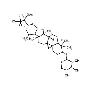 CC(=O)O[C@@H]([C@H]1C[C@@H](C)C2C(C[C@@]3(C)[C@@H]4CC[C@H]5C(C)(C)[C@@H](OC6OC[C@@H](O)[C@H](O)[C@H]6O)CC[C@@]56C[C@@]46CC[C@]23C)O1)C(C)(C)O